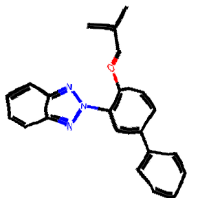 C=C(C)COc1ccc(-c2ccccc2)cc1-n1nc2ccccc2n1